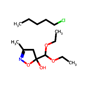 CCCCCCl.CCOC(OCC)C1(O)CC(C)=NO1